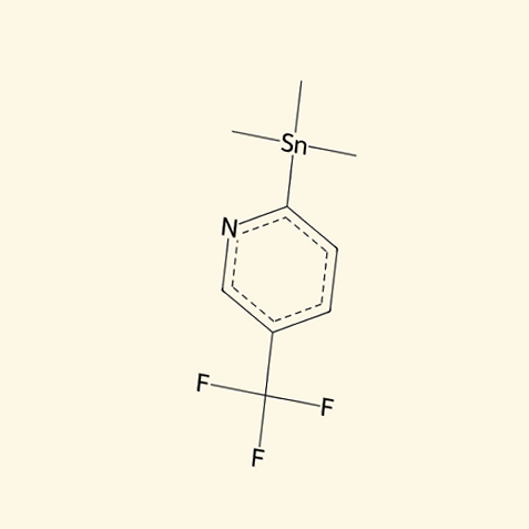 [CH3][Sn]([CH3])([CH3])[c]1ccc(C(F)(F)F)cn1